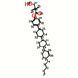 CCCCCC1CCC(C2CCC(C3CCC(c4ccc(OC(=O)C(C)(C)CO)cc4)CC3)CC2)CC1